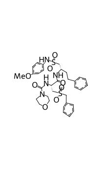 COc1ccc(NS(=O)(=O)C[C@H](CCc2ccccc2)NC(=O)[C@H](CS(=O)(=O)Cc2ccccc2)NC(=O)N2CCOCC2)cc1